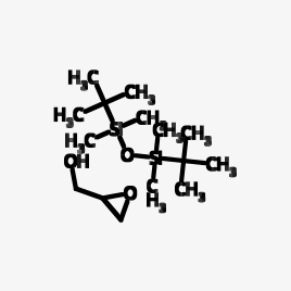 CC(C)(C)[Si](C)(C)O[Si](C)(C)C(C)(C)C.OCC1CO1